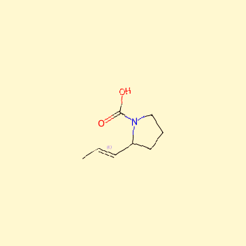 C/C=C/C1CCCN1C(=O)O